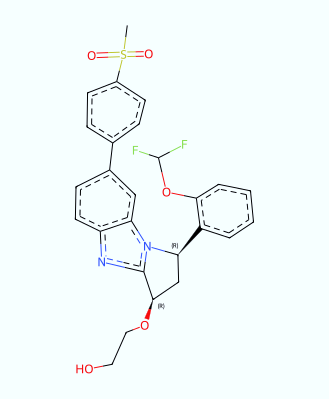 CS(=O)(=O)c1ccc(-c2ccc3nc4n(c3c2)[C@@H](c2ccccc2OC(F)F)C[C@H]4OCCO)cc1